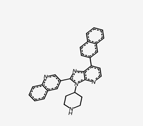 c1ccc2cc(-c3ccnc4c3nc(-c3cnc5ccccc5c3)n4C3CCNCC3)ccc2c1